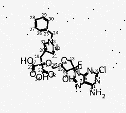 Nc1nc(Cl)nc2c1ncn2[C@@]1(F)CO[C@H](COC(Cc2cnn(Cc3ccccc3)c2)(C(=O)O)C(=O)O)[C@H]1O